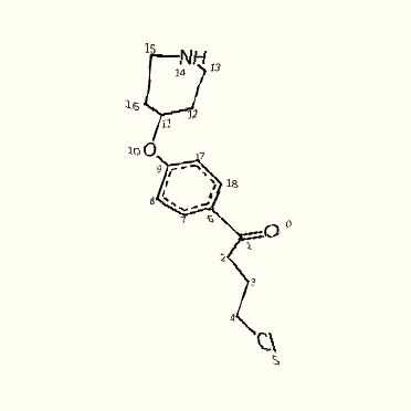 O=C(CCCCl)c1ccc(OC2CCNCC2)cc1